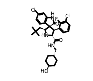 CC(C)(C)C[C@@H]1N[C@@H](C(=O)NC[C@H]2CC[C@H](O)CC2)[C@H](c2cccc(Cl)c2F)[C@]12C(=O)Nc1cc(Cl)ccc12